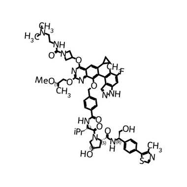 CO[C@@H](C)COc1nc(OC2CN(C(=O)NCCN(C)C)C2)c2cc(C3CC3)c(-c3c(C)c(F)cc4[nH]ncc34)c(OCc3ccc(C(=O)N[C@H](C(=O)N4C[C@H](O)C[C@H]4C(=O)N[C@@H](CO)c4ccc(-c5scnc5C)cc4)C(C)C)cc3)c2n1